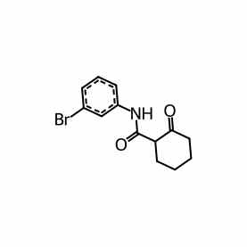 O=C1CCCCC1C(=O)Nc1cccc(Br)c1